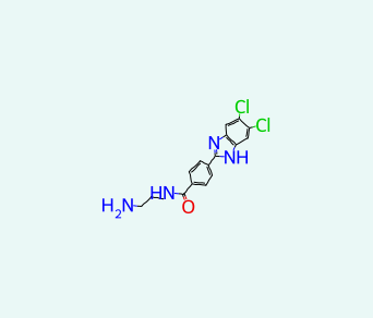 NCCCNC(=O)c1ccc(-c2nc3cc(Cl)c(Cl)cc3[nH]2)cc1